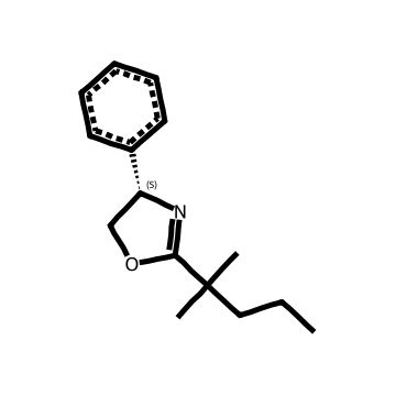 CCCC(C)(C)C1=N[C@@H](c2ccccc2)CO1